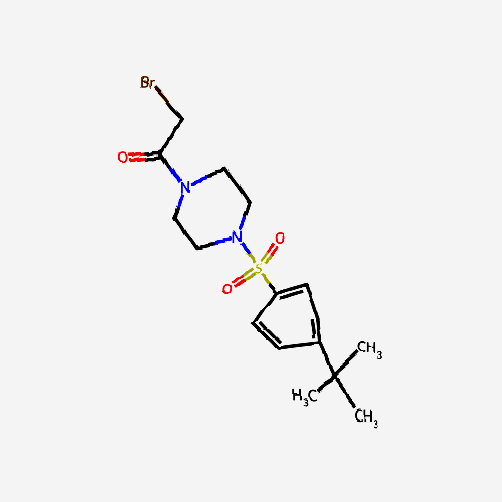 CC(C)(C)c1ccc(S(=O)(=O)N2CCN(C(=O)CBr)CC2)cc1